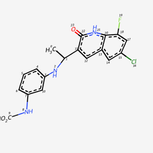 CC(Nc1cccc(NC(=O)O)c1)c1cc2cc(Cl)cc(F)c2[nH]c1=O